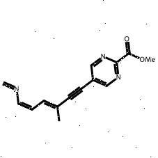 C=N/C=C\C=C(/C)C#Cc1cnc(C(=O)OC)nc1